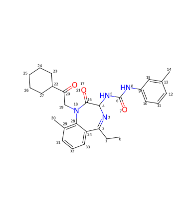 CCC1=NC(NC(=O)Nc2cccc(C)c2)C(=O)N(CC(=O)C2CCCCC2)c2c(C)cccc21